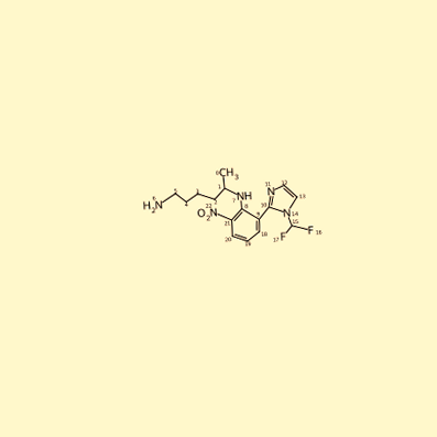 CC(CCCCN)Nc1c(-c2nccn2C(F)F)cccc1[N+](=O)[O-]